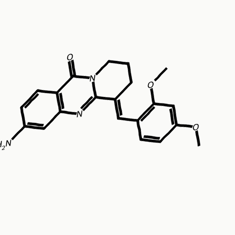 COc1ccc(/C=C2\CCCn3c2nc2cc(N)ccc2c3=O)c(OC)c1